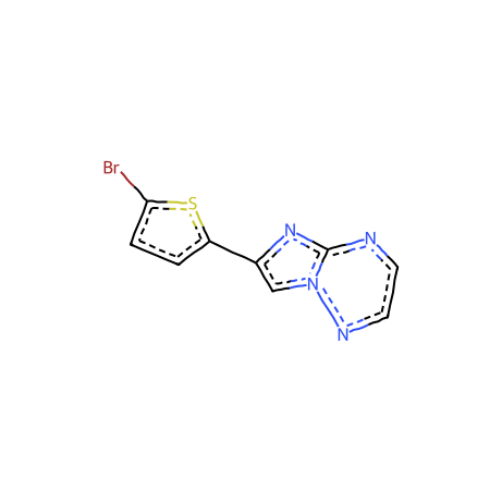 Brc1ccc(-c2cn3nccnc3n2)s1